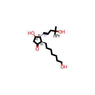 CCCC(C)(O)C/C=C/[C@H]1[C@H](O)CC(=O)[C@@H]1CCCCCCCO